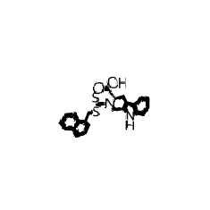 O=C(O)[C@H]1Cc2c([nH]c3ccccc23)CN1C(=S)SCc1cccc2ccccc12